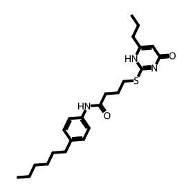 CCCCCCc1ccc(NC(=O)CCCSc2nc(=O)cc(CCC)[nH]2)cc1